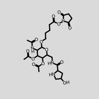 CC(=O)NC1C(OCCCCC(=O)ON2C(=O)CCC2=O)OC(CNC(=O)C2CC(O)CN2)C(OC(C)=O)C1OC(C)=O